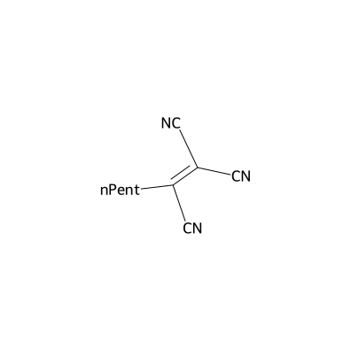 CCCCCC(C#N)=C(C#N)C#N